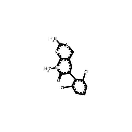 Cn1c(=O)c(-c2c(Cl)cccc2Cl)cc2cnc(N)nc21